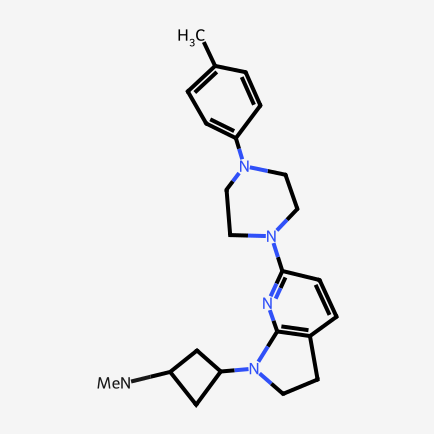 CNC1CC(N2CCc3ccc(N4CCN(c5ccc(C)cc5)CC4)nc32)C1